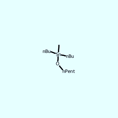 CCCCC[O][Sn]([CH3])([CH2]CCC)[CH2]CCC